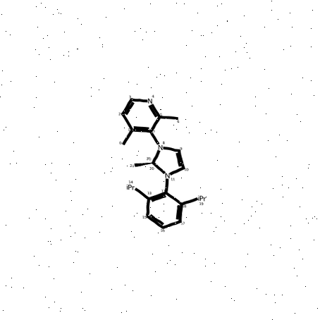 Cc1ccnc(C)c1N1C=CN(c2c(C(C)C)cccc2C(C)C)[C@H]1C